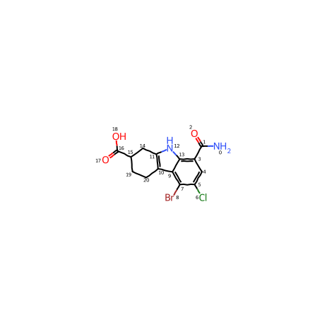 NC(=O)c1cc(Cl)c(Br)c2c3c([nH]c12)CC(C(=O)O)CC3